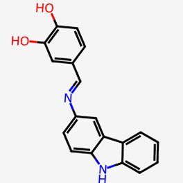 Oc1ccc(C=Nc2ccc3[nH]c4ccccc4c3c2)cc1O